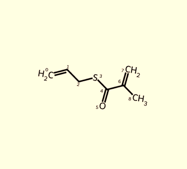 C=CCSC(=O)C(=C)C